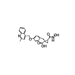 Cc1cc(COc2ccc(C[C@]3(C(=O)O)C[C@@H]3C(=O)NO)cc2)c2ccccc2n1